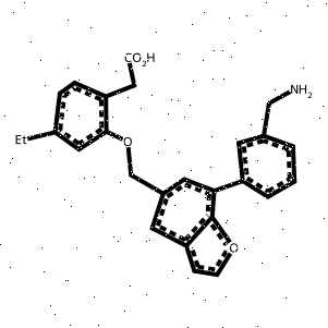 CCc1ccc(CC(=O)O)c(OCc2cc(-c3cccc(CN)c3)c3occc3c2)c1